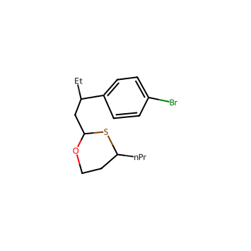 CCCC1CCOC(CC(CC)c2ccc(Br)cc2)S1